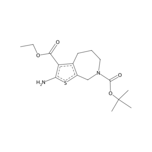 CCOC(=O)c1c(N)sc2c1CCCN(C(=O)OC(C)(C)C)C2